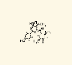 Cc1n[nH]c2nc(-c3ccc(O)cc3)cc(C(=O)N3C[C@@H](C)NC[C@@H]3C)c12